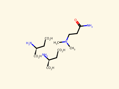 CN(C)CCC(N)=O.N[C@@H](CC(=O)O)C(=O)O.N[C@@H](CC(=O)O)C(=O)O